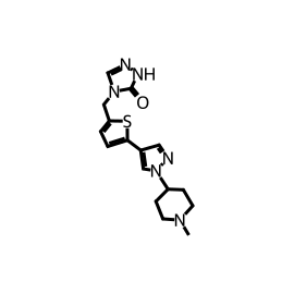 CN1CCC(n2cc(-c3ccc(Cn4cn[nH]c4=O)s3)cn2)CC1